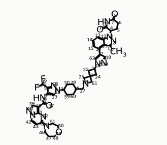 Cc1nn(C2CCC(=O)NC2=O)c2cccc(-c3cnn(C4CC5(C4)CN(CC4CCC(n6cc(NC(=O)c7cnn8ccc(N9CCCOCC9)nc78)c(C(F)F)n6)CC4)C5)c3)c12